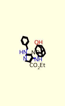 CCOC(=O)c1cnc(NCc2ccccc2)c([N+](=O)[O-])c1NC1C2CC3CC1CC(O)(C3)C2